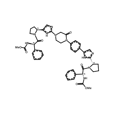 COC(=O)N[C@@H](C(=O)N1CCC[C@H]1c1cnc(N2CCN(c3ccc(-c4cnc([C@@H]5CCCN5C(=O)[C@H](NC(=O)OC)c5ccccc5)[nH]4)cc3)C(=O)C2)[nH]1)c1ccccc1